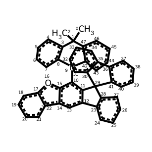 CC1(C)c2ccccc2N(c2c3c(cc4c2oc2ccccc24)-c2ccccc2C32c3ccccc3-c3ccccc32)c2ccccc21